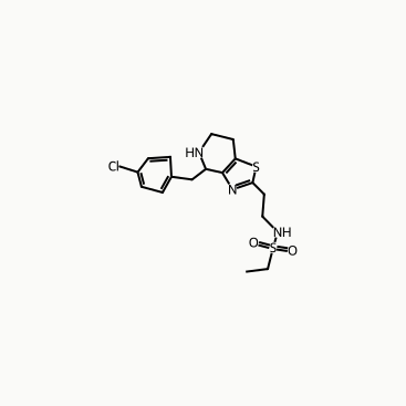 CCS(=O)(=O)NCCc1nc2c(s1)CCNC2Cc1ccc(Cl)cc1